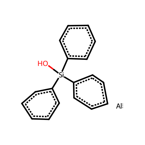 O[Si](c1ccccc1)(c1ccccc1)c1ccccc1.[Al]